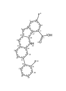 O=C(O)c1cc(F)cc2cc3cc4ccc(-c5ccccc5F)cc4[nH]c-3c12